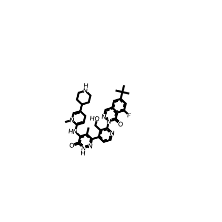 Cc1c(-c2ccnc(-n3ncc4cc(C(C)(C)C)cc(F)c4c3=O)c2CO)n[nH]c(=O)c1NC1=CCC(C2CCNCC2)=CN1C